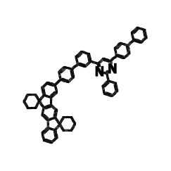 c1ccc(-c2ccc(-c3cc(-c4cccc(-c5ccc(-c6ccc7c(c6)-c6cc8c(cc6C76CCCCC6)-c6ccccc6C86CCCCC6)cc5)c4)nc(-c4ccccc4)n3)cc2)cc1